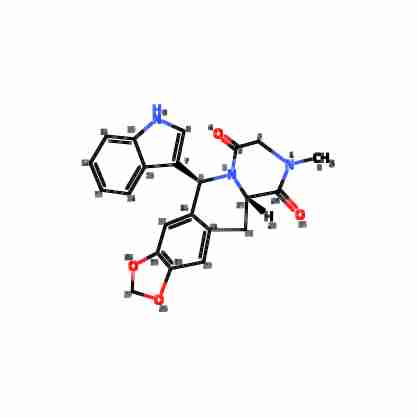 CN1CC(=O)N2[C@H](c3c[nH]c4ccccc34)c3cc4c(cc3C[C@H]2C1=O)OCO4